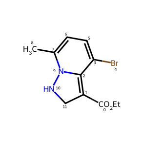 CCOC(=O)C1=C2C(Br)=CC=C(C)N2NC1